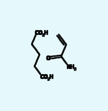 C=CC(N)=O.O=C(O)CCCC(=O)O